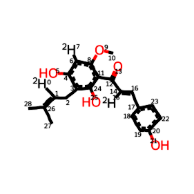 [2H]C(Cc1c(O)c([2H])c(OC)c(C(=O)/C([2H])=C/c2ccc(O)cc2)c1O)=C(C)C